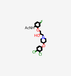 CC(=O)Nc1ccc(F)cc1OCC(O)CN1CCC(Oc2ccc(Cl)c(Cl)c2)CC1